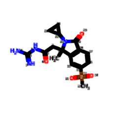 CC1(CC(=O)NC(=N)N)c2cc(S(C)(=O)=O)ccc2C(=O)N1C1CC1